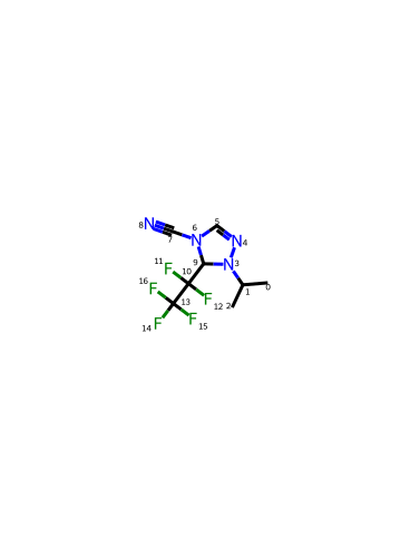 CC(C)N1N=CN(C#N)C1C(F)(F)C(F)(F)F